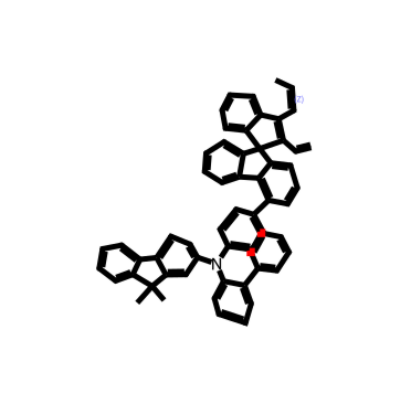 C=CC1=C(/C=C\C)c2ccccc2C12c1ccccc1-c1c(-c3ccc(N(c4ccc5c(c4)C(C)(C)c4ccccc4-5)c4ccccc4-c4ccccc4)cc3)cccc12